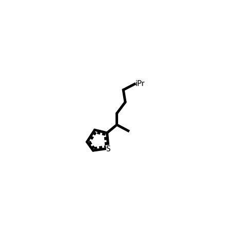 CC(C)CCCC(C)c1cccs1